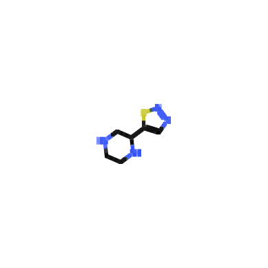 c1nnsc1C1CNCCN1